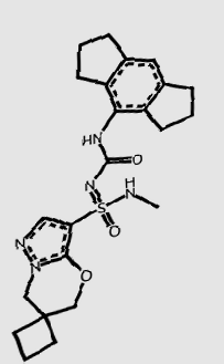 CNS(=O)(=NC(=O)Nc1c2c(cc3c1CCC3)CCC2)c1cnn2c1OCC1(CCC1)C2